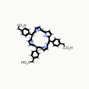 O=C(O)Cc1ccc(-c2c3nc(c4ccc([nH]4)c(-c4ccc(CC(=O)O)cc4)c4ccc([nH]4)c(-c4ccc(CC(=O)O)cc4)c4ccc2[nH]4)C=C3)cc1